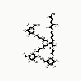 NC(CCC(=O)O)C(=O)NCCCCC(C(=O)NCCO[C@H]1O[C@H](CO)[C@@H](O)[C@H](O)[C@@H]1O)N(CC(=O)NCCO[C@H]1O[C@H](CO)[C@@H](O)[C@H](O)[C@@H]1O)CC(=O)NCCO[C@H]1O[C@H](CO)[C@@H](O)[C@H](O)[C@@H]1O